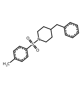 Cc1ccc(S(=O)(=O)N2CCC(Cc3ccccc3)CC2)cc1